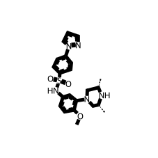 COc1ccc(NS(=O)(=O)c2ccc(-n3cccn3)cc2)cc1N1C[C@@H](C)N[C@@H](C)C1